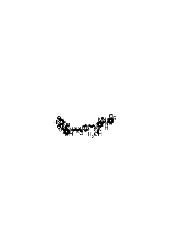 C=CC(=O)Nc1cc2c(Nc3ccc(F)c(Cl)c3)ncnc2cc1OCCCN1CCN(C(=O)CCCCNc2cccc3c2C(=O)N(C2CCC(=O)NC2=O)C3=O)CC1